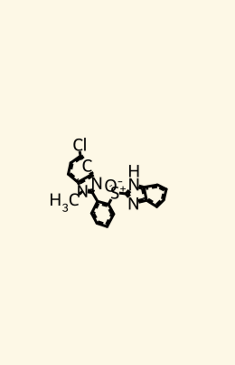 Cn1c(-c2ccccc2[S+]([O-])c2nc3ccccc3[nH]2)nc2cc(Cl)ccc21